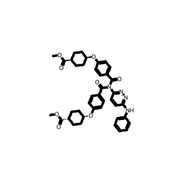 COC(=O)[C@H]1CC[C@@H](Oc2ccc(C(=O)N(C(=O)c3ccc(O[C@H]4CC[C@@H](C(=O)OC)CC4)cc3)c3ccc(Nc4ccccc4)nn3)cc2)CC1